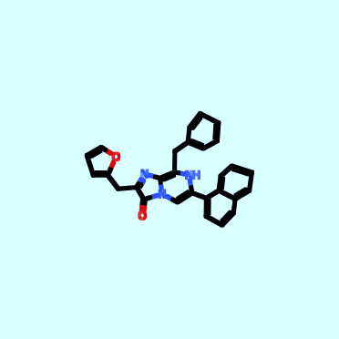 O=c1c(Cc2ccco2)nc2c(Cc3ccccc3)[nH]c(-c3cccc4ccccc34)cn1-2